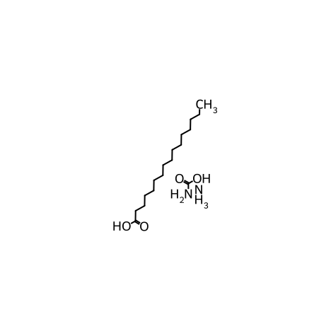 CCCCCCCCCCCCCCCC(=O)O.N.NC(=O)O